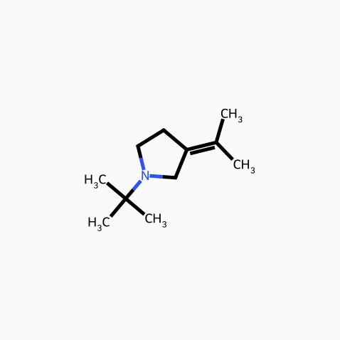 CC(C)=C1CCN(C(C)(C)C)C1